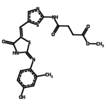 COC(=O)CCC(=O)Nc1ncc(C=C2SC(=Nc3ccc(O)cc3C)NC2=O)s1